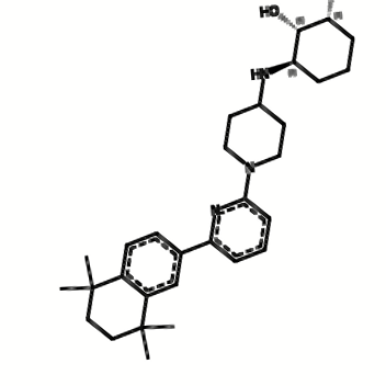 CC1(C)CCC(C)(C)c2cc(-c3cccc(N4CCC(N[C@@H]5CCC[C@@H](O)[C@H]5O)CC4)n3)ccc21